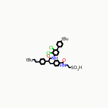 CC(C)(C)/C=C/c1ccc(C(Cc2ccc(C(=O)NCCS(=O)(=O)O)cc2)C(=O)Nc2ccc(-c3ccc(C(C)(C)C)cc3)c(Cl)c2Cl)cc1